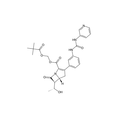 C[C@@H](O)[C@H]1C(=O)N2C(C(=O)OCOC(=O)C(C)(C)C)=C(c3cccc(NC(=O)Nc4cccnc4)c3)C[C@H]12